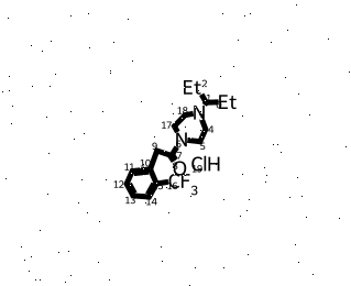 CCC(CC)N1CCN(C(=O)Cc2ccccc2C(F)(F)F)CC1.Cl